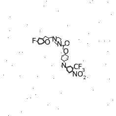 CN(c1ccc([N+](=O)[O-])c(C(F)(F)F)c1)C1CCC(OCC(=O)N2CCN(CC3Cc4cc(F)ccc4O3)CC2)CC1